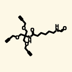 C#CCOCC(COCC#C)(COCC#C)NC(=O)CCCCCNC=O